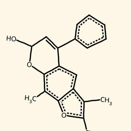 Cc1c(C#N)oc2c(C)c3c(cc12)C(c1ccccc1)=CC(O)O3